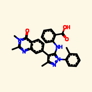 Cc1ccccc1-n1nc(C)c(-c2ccc3c(=O)n(C)c(C)nc3c2)c1Nc1ccccc1C(=O)O